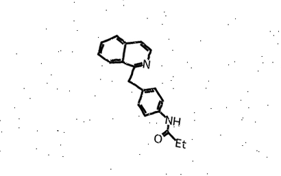 CCC(=O)Nc1ccc(Cc2nccc3ccccc23)cc1